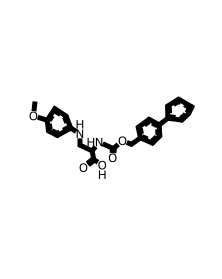 COc1ccc(NCC(NC(=O)OCc2ccc(-c3ccccc3)cc2)C(=O)O)cc1